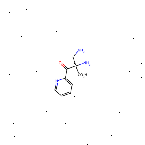 NCC(N)(C(=O)O)C(=O)c1ccccn1